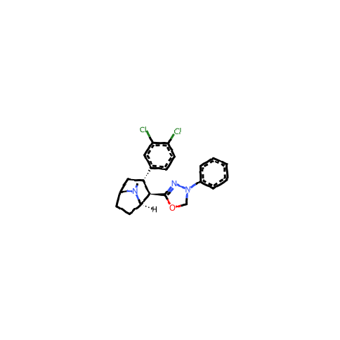 CN1C2CC[C@@H]1[C@H](C1=NN(c3ccccc3)CO1)[C@@H](c1ccc(Cl)c(Cl)c1)C2